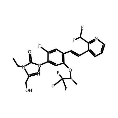 CCn1c(CO)nn(-c2cc(O[C@@H](C)C(F)(F)F)c(/C=C/c3cccnc3C(F)F)cc2F)c1=O